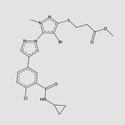 COC(=O)CCSc1nn(C)c(-n2cc(-c3ccc(Cl)c(C(=O)NC4CC4)c3)cn2)c1Br